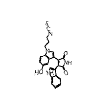 O=C1NC(=O)C(c2cn(CCCN=C=S)c3ccc(O)cc23)=C1c1c[nH]c2ccccc12